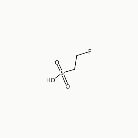 O=S(=O)(O)CCF